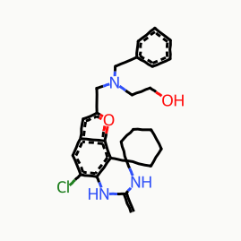 C=C1Nc2c(Cl)cc3cc(CN(CCO)Cc4ccccc4)oc3c2C2(CCCCC2)N1